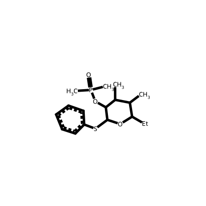 CCC1OC(Sc2ccccc2)C(OP(C)(C)=O)C(C)C1C